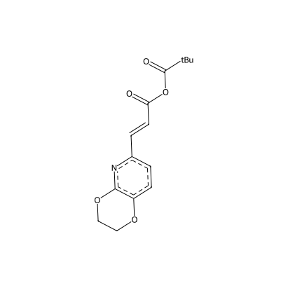 CC(C)(C)C(=O)OC(=O)/C=C/c1ccc2c(n1)OCCO2